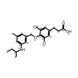 CCC(C)Nc1cc(C)cc(COc2c(Cl)cc(CCC(=O)O)cc2Cl)c1